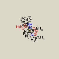 CC[C@H](C)CC(=O)N(C)[C@H](C[C@@H](OC(C)=O)c1nc(C(=O)NC(c2ccccc2)[C@@H](OCC(=O)O)c2ccccc2)cs1)C(C)C